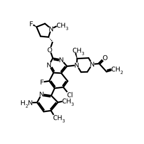 C=CC(=O)N1CCN(c2nc(OC[C@@H]3C[C@@H](F)CN3C)nc3c(F)c(-c4nc(N)cc(C)c4C)c(Cl)cc23)[C@@H](C)C1